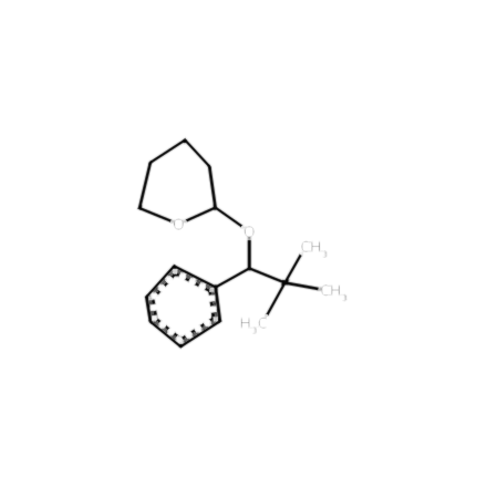 CC(C)(C)C(OC1CCCCO1)c1ccccc1